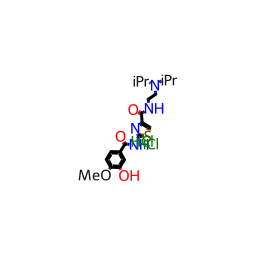 COc1ccc(C(=O)Nc2nc(C(=O)NCCN(C(C)C)C(C)C)cs2)cc1O.Cl.Cl